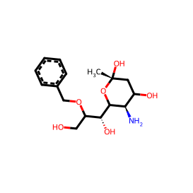 C[C@@]1(O)CC(O)[C@@H](N)C([C@H](O)C(CO)OCc2ccccc2)O1